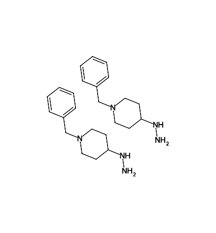 NNC1CCN(Cc2ccccc2)CC1.NNC1CCN(Cc2ccccc2)CC1